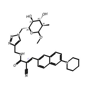 COC1O[C@H](Cn2cc(CNC(=O)/C(C#N)=C/c3ccc4cc(N5CCCCC5)ccc4c3)nn2)[C@@H](O)[C@H](O)[C@H]1C